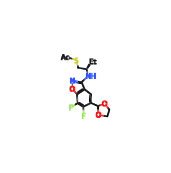 CC[C@H](CSC(C)=O)Nc1noc2c(F)c(F)c(C3OCCO3)cc12